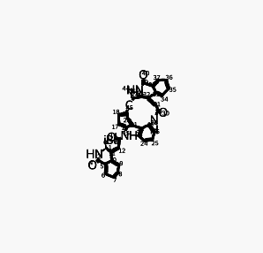 CC[C@H](C)[C@@H]1NC(=O)c2ccccc2/C1=C/C(=O)Nc1ccc2cc1-c1ccccc1NC(=O)/C=C1/c3ccccc3C(=O)N[C@H]1[C@@H](C)C2